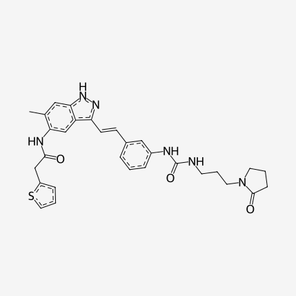 Cc1cc2[nH]nc(C=Cc3cccc(NC(=O)NCCCN4CCCC4=O)c3)c2cc1NC(=O)Cc1cccs1